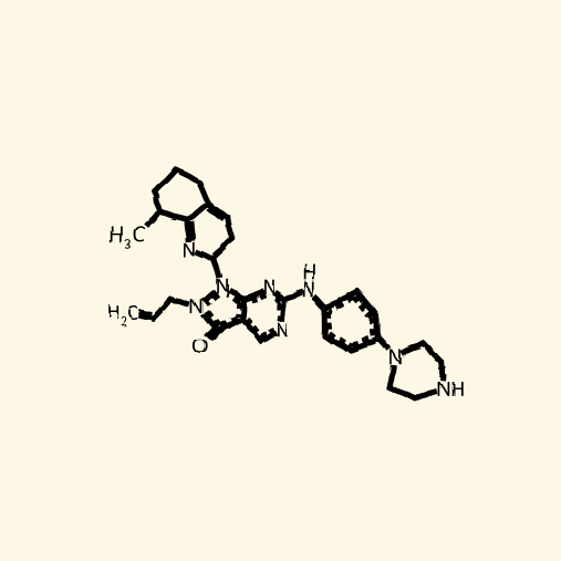 C=CCn1c(=O)c2cnc(Nc3ccc(N4CCNCC4)cc3)nc2n1C1CC=C2CCCC(C)C2=N1